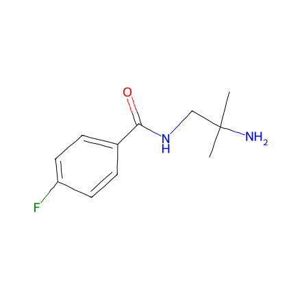 CC(C)(N)CNC(=O)c1ccc(F)cc1